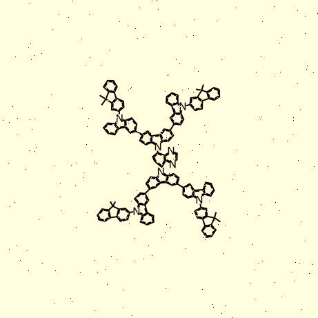 CC1(C)c2ccccc2-c2ccc(-n3c4ccccc4c4cc(-c5ccc6c(c5)c5cc(-c7ccc8c(c7)c7ccccc7n8-c7ccc8c(c7)C(C)(C)c7ccccc7-8)ccc5n6-c5ccc(-n6c7ccc(-c8ccc9c(c8)c8ccccc8n9-c8ccc9c(c8)C(C)(C)c8ccccc8-9)cc7c7cc(-c8ccc9c(c8)c8ccccc8n9-c8ccc9c(c8)C(C)(C)c8ccccc8-9)ccc76)c6nccnc56)ccc43)cc21